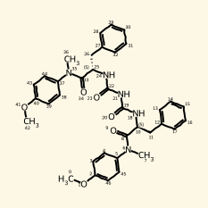 COc1ccc(N(C)C(=O)[C@H](Cc2ccccc2)NC(=O)NC(=O)N[C@@H](Cc2ccccc2)C(=O)N(C)c2ccc(OC)cc2)cc1